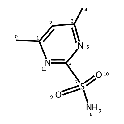 Cc1cc(C)nc(S(N)(=O)=O)n1